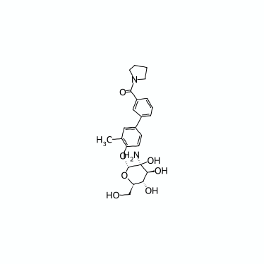 Cc1cc(-c2cccc(C(=O)N3CCCC3)c2)ccc1O[C@H]1O[C@H](CO)[C@@H](O)[C@H](O)[C@]1(N)O